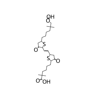 CC(C)(CCCCC1CC(=O)C(C=CC2CC(=O)C(CCCCC(C)(C)C(=O)O)S2)S1)COO